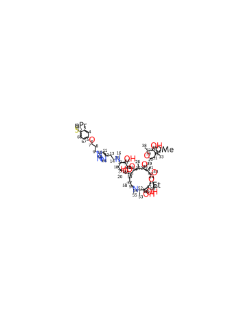 CCCSc1ccc(OCCCn2cc(CCN(C)[C@H]3C[C@@H](C)O[C@@H](O[C@@H]4[C@@H](C)[C@H](OC[C@H]5C[C@@](C)(OC)[C@@H](O)[C@H](C)O5)[C@@H](C)C(=O)O[C@H](CC)[C@@](C)(O)[C@H](O)[C@@H](C)N(C)C[C@H](C)C[C@@]4(C)O)[C@@H]3O)nn2)cc1